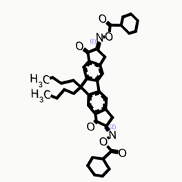 CCCCC1(CCCC)c2cc3c(cc2-c2cc4c(cc21)C(=O)/C(=N/OC(=O)C1CCCCC1)C4)C/C(=N/OC(=O)C1CCCCC1)C3=O